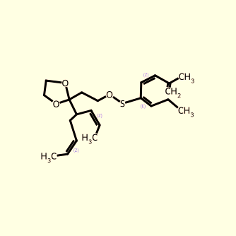 C=C(C)/C=C\C(=C/CC)SOCCC1(C(/C=C\C)C/C=C\C)OCCO1